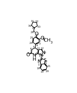 COc1cc(C2CC(=O)Nc3c2cnn3-c2nc3ccccc3s2)ccc1OCC1CCCC1